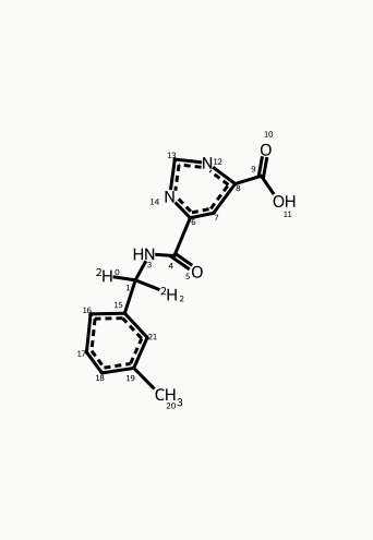 [2H]C([2H])(NC(=O)c1cc(C(=O)O)ncn1)c1cccc(C)c1